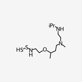 CC(C)NCCN(C)CCC(C)OCCNSS